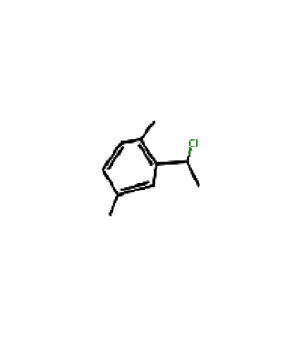 Cc1ccc(C)c(C(C)Cl)c1